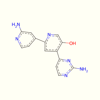 Nc1cc(-c2cc(-c3ccnc(N)n3)c(O)cn2)ccn1